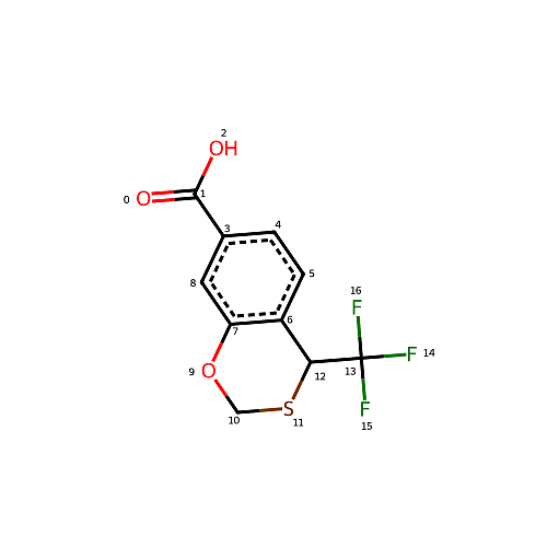 O=C(O)c1ccc2c(c1)OCSC2C(F)(F)F